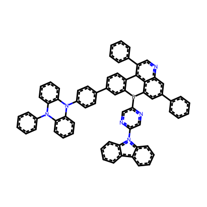 c1ccc(-c2cc3c4c(c(-c5ccccc5)cnc4c2)-c2ccc(-c4ccc(N5c6ccccc6N(c6ccccc6)c6ccccc65)cc4)cc2B3c2cnc(-n3c4ccccc4c4ccccc43)cn2)cc1